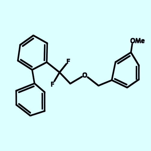 COc1cccc(COCC(F)(F)c2ccccc2-c2ccccc2)c1